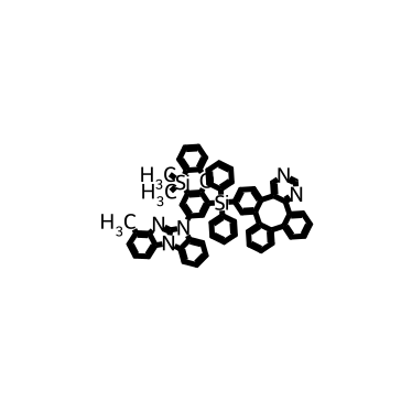 Cc1cccc2c1nc1n(-c3cc4c(c([Si](c5ccccc5)(c5ccccc5)c5ccc6c(c5)-c5ccccc5-c5ccccc5-c5ncncc5-6)c3)Oc3ccccc3[Si]4(C)C)c3ccccc3n21